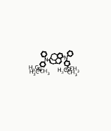 C[Si](C)(C)c1ccc(N(C2=CCC3C=Cc4c(N(c5ccccc5)c5ccc([Si](C)(C)C)cc5)ccc5c4C3CC2CC5)c2ccccc2)cc1